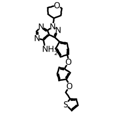 Nc1ncnc2c1c(-c1ccc(Oc3cccc(OCc4cccs4)c3)cc1)nn2C1CCOCC1